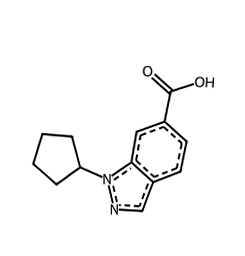 O=C(O)c1ccc2cnn(C3CCCC3)c2c1